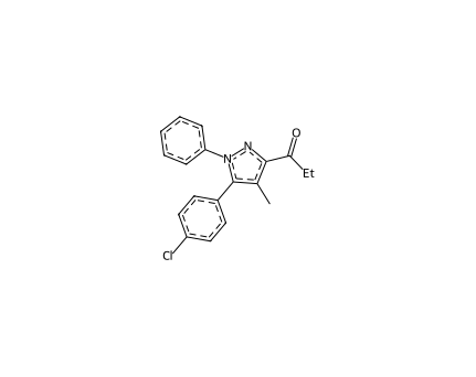 CCC(=O)c1nn(-c2ccccc2)c(-c2ccc(Cl)cc2)c1C